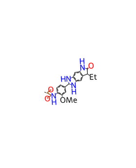 CCC1C(=O)Nc2cc3c(cc21)NC(c1ccc(NS(C)(=O)=O)c(OC)c1)N3